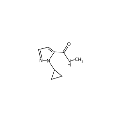 CNC(=O)c1ccnn1C1CC1